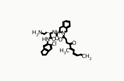 C=C/C=C\C=C(/C)C(=O)CCC(=O)N1Cc2ccccc2C[C@H]1C(=O)N[C@@H](CCN)C(=O)Nc1cc2c(cc1Cl)CCC2